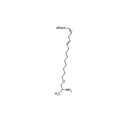 CCCCC/C=C\CC=CCCCCCCCCOCC(C)N